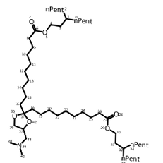 CCCCCC(CCCCC)CCOC(=O)CCCCCCCCCC1(CCCCCCCCCC(=O)OCCC(CCCCC)CCCCC)OCC(CN(C)C)O1